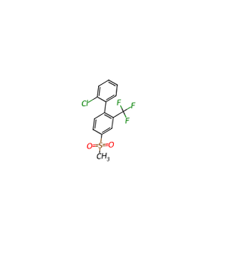 CS(=O)(=O)c1ccc(-c2ccccc2Cl)c(C(F)(F)F)c1